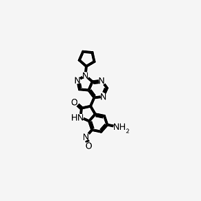 Nc1cc(N=O)c2c(c1)C(c1ncnc3c1cnn3C1CCCC1)C(=O)N2